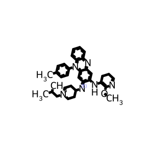 COC1=C(Nc2cc3nc4ccccc4n(-c4ccc(C)cc4)c-3c/c2=N\C2CCN(CC(C)C)CC2)CCC=N1